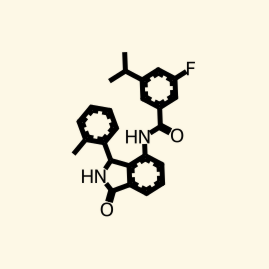 Cc1ccccc1C1NC(=O)c2cccc(NC(=O)c3cc(F)cc(C(C)C)c3)c21